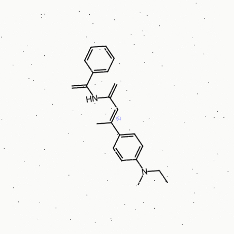 C=C(/C=C(\C)c1ccc(N(C)CC)cc1)NC(=C)c1ccccc1